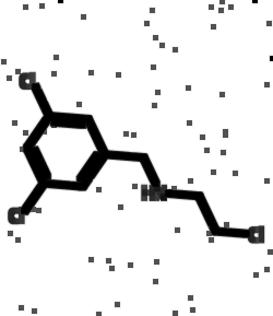 ClCCNCc1cc(Cl)cc(Cl)c1